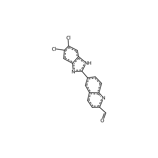 O=Cc1ccc2cc(-c3nc4cc(Cl)c(Cl)cc4[nH]3)ccc2n1